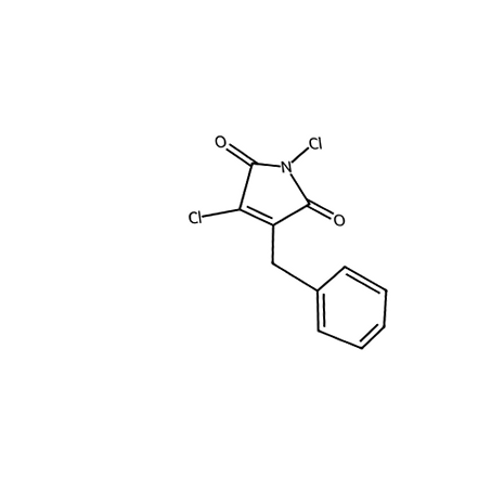 O=C1C(Cl)=C(Cc2ccccc2)C(=O)N1Cl